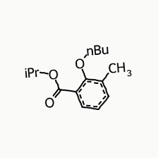 CCCCOc1c(C)cccc1C(=O)OC(C)C